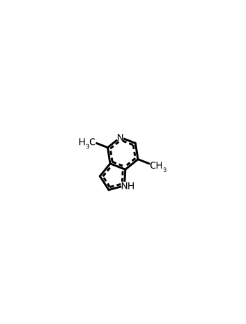 Cc1ncc(C)c2[nH]ccc12